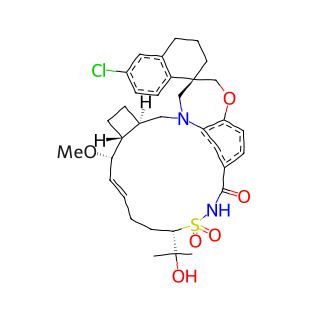 CO[C@H]1/C=C/CC[C@@H](C(C)(C)O)S(=O)(=O)NC(=O)c2ccc3c(c2)N(C[C@@H]2CC[C@H]21)C[C@@]1(CCCc2cc(Cl)ccc21)CO3